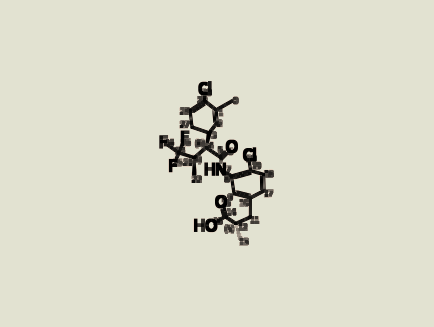 CC1=CC([C@@H](C(=O)Nc2cc(C[C@H](C)C(=O)O)ccc2Cl)[C@@H](C)C(F)(F)F)CC=C1Cl